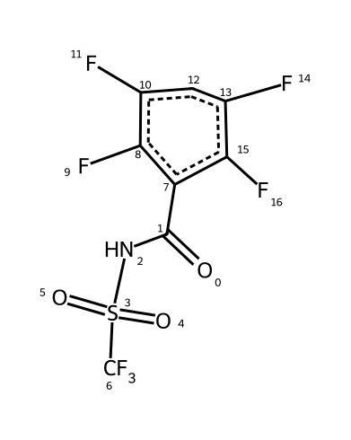 O=C(NS(=O)(=O)C(F)(F)F)c1c(F)c(F)cc(F)c1F